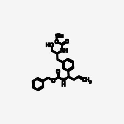 C=CCC(NC(=O)OCc1ccccc1)c1cccc(CC(CO)NC(=O)OC(C)(C)C)c1